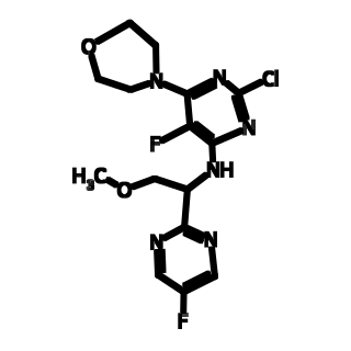 COCC(Nc1nc(Cl)nc(N2CCOCC2)c1F)c1ncc(F)cn1